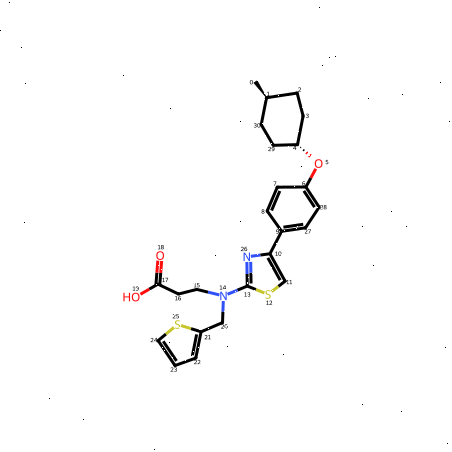 C[C@H]1CC[C@H](Oc2ccc(-c3csc(N(CCC(=O)O)Cc4cccs4)n3)cc2)CC1